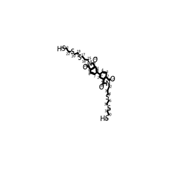 O=C1c2ccc(-c3ccc4c(c3)C(=O)N(CCCSCCSCCS)C4=O)cc2C(=O)N1CCCSCCSCCS